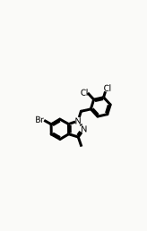 Cc1nn(Cc2cccc(Cl)c2Cl)c2cc(Br)ccc12